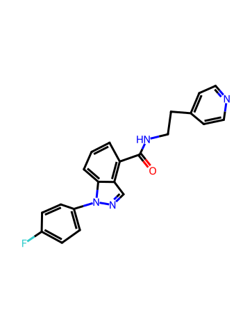 O=C(NCCc1ccncc1)c1cccc2c1cnn2-c1ccc(F)cc1